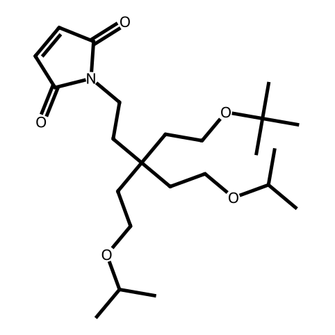 CC(C)OCCC(CCOC(C)C)(CCOC(C)(C)C)CCN1C(=O)C=CC1=O